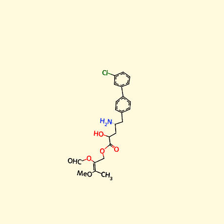 CO/C(C)=C(/COC(=O)C(O)C[C@H](N)Cc1ccc(-c2cccc(Cl)c2)cc1)OC=O